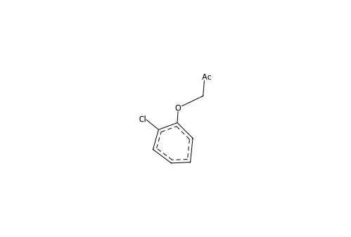 CC(=O)COc1ccccc1Cl